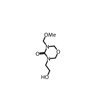 COCN1COCN(CCO)C1=O